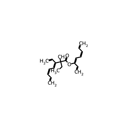 C=C/C=C\C=C(/C=C)OC(=O)C(C)(CC)/C(C=C)=C/C=C\C=C